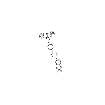 CO[Si](CC[C@H]1CC[C@H](C2CCC(c3ccc(OC(F)(F)F)cc3)CC2)CC1)(OC)OC